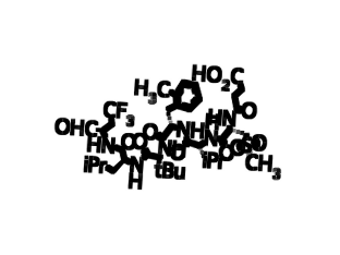 Cc1ccccc1C[C@H](NC(=O)[C@H](NC(=O)[C@@H](CS(C)(=O)=O)NC(=O)CCC(=O)O)C(C)C)C(=O)N[C@H](C(=O)N[C@@H](CC(C)C)C(=O)N[C@H](C=O)CC(F)(F)F)C(C)(C)C